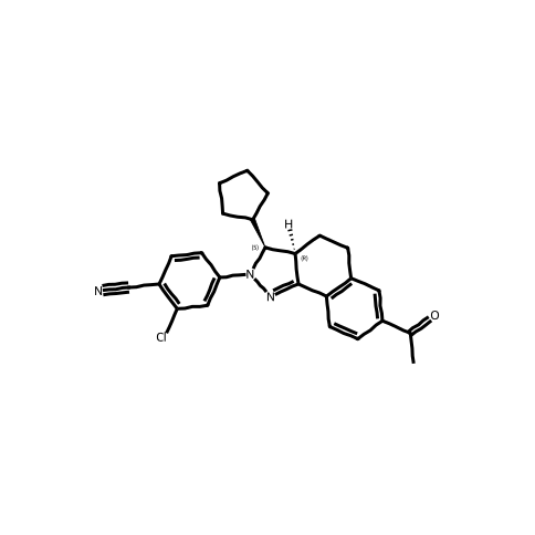 CC(=O)c1ccc2c(c1)CC[C@H]1C2=NN(c2ccc(C#N)c(Cl)c2)[C@H]1C1CCCC1